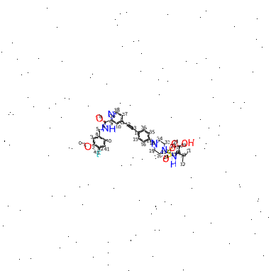 COc1cc(CNC(=O)c2cc(C#Cc3ccc(N4CCN(S(=O)(=O)N[C@@H](C(=O)O)C(C)C)CC4)cc3)ccn2)ccc1F